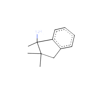 CC1(C)Cc2ccccc2C1(C)N